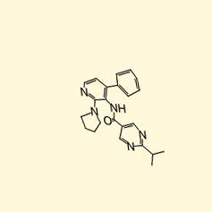 CC(C)c1ncc(C(=O)Nc2c(-c3ccccc3)ccnc2N2CCCC2)cn1